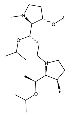 CC(C)O[C@@H](C)[C@@H]1[C@H](F)CCN1CC[C@H](OC(C)C)[C@@H]1[C@@H](OI)CCN1C